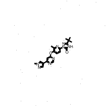 Cc1nc(-n2nc(C(C)(C)C)[nH]c2=O)ccc1Oc1cc(-c2cnn(C)c2)ncn1